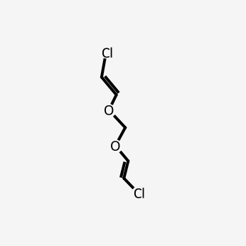 ClC=COCOC=CCl